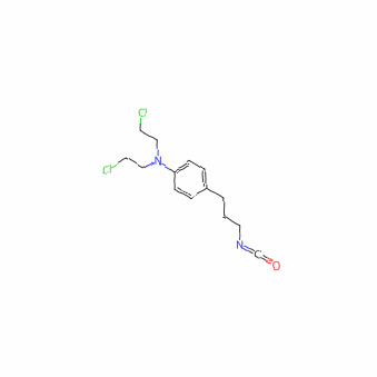 O=C=NCCCc1ccc(N(CCCl)CCCl)cc1